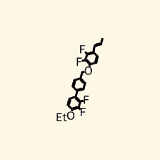 C/C=C/c1ccc(OCc2ccc(-c3ccc(OCC)c(F)c3F)cc2)c(F)c1F